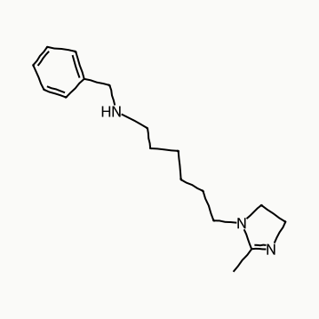 CC1=NCCN1CCCCCCNCc1ccccc1